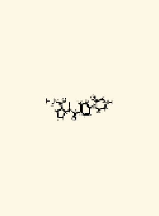 NC(=O)C1CCCC1NC(=O)c1ccc(N2CCNCC2=O)cc1F